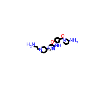 CC(=O)/N=C1/Nc2cc(C(=O)N3CCCC(N)C3)ccc2O/C1=C/NC1CCCN(CCCN)CC1